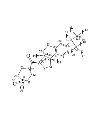 O=C([C@@H]1CC[C@H]2c3ccc(C(F)(C(F)(F)F)C(F)(F)F)cc3CC[C@@H]12)N1CCS(=O)(=O)CC1